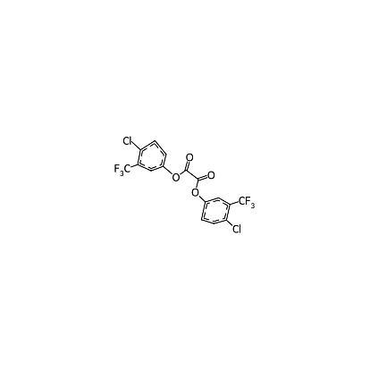 O=C(Oc1ccc(Cl)c(C(F)(F)F)c1)C(=O)Oc1ccc(Cl)c(C(F)(F)F)c1